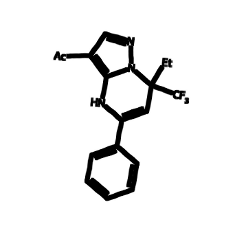 CCC1(C(F)(F)F)C=C(c2ccccc2)Nc2c(C(C)=O)cnn21